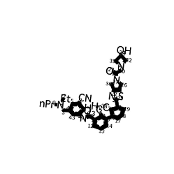 CCCN(CC)Cc1cc(C#N)c2oc(-c3cccc(-c4cccc(-c5nc6c(s5)CN(C(=O)CN5CC(O)C5)C6)c4C)c3C)nc2c1